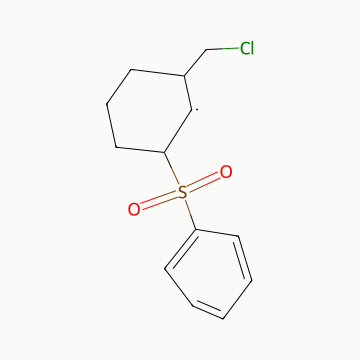 O=S(=O)(c1ccccc1)C1[CH]C(CCl)CCC1